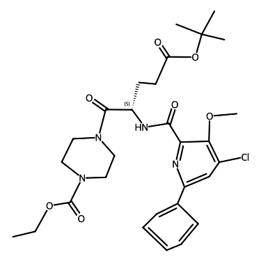 CCOC(=O)N1CCN(C(=O)[C@H](CCC(=O)OC(C)(C)C)NC(=O)c2nc(-c3ccccc3)cc(Cl)c2OC)CC1